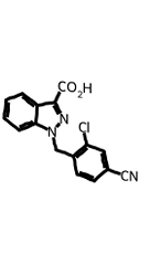 N#Cc1ccc(Cn2nc(C(=O)O)c3ccccc32)c(Cl)c1